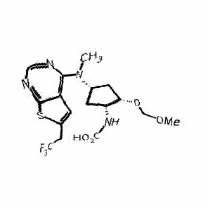 COCO[C@H]1C[C@@H](N(C)c2ncnc3sc(CC(F)(F)F)cc23)C[C@H]1NC(=O)O